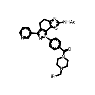 CC(=O)Nc1nc2c(s1)-c1c(c(-c3cccnc3)nn1-c1ccc(C(=O)N3CCN(CC(C)C)CC3)cc1)CC2